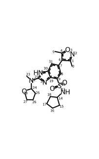 Cc1noc(C)c1-c1cc(S(=O)(=O)NC2CCCC2)c2nc(N(C)C3CCCO3)[nH]c2c1